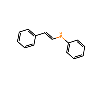 C(=Cc1ccccc1)Pc1ccccc1